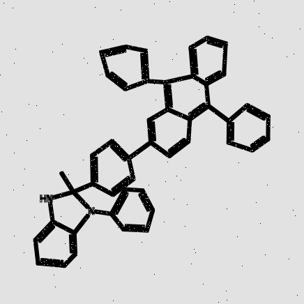 CC1(c2ccc(-c3ccc4c(-c5ccccc5)c5ccccc5c(-c5ccccc5)c4c3)cc2)Nc2ccccc2N1c1ccccc1